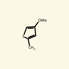 COc1[c]sc(C)c1